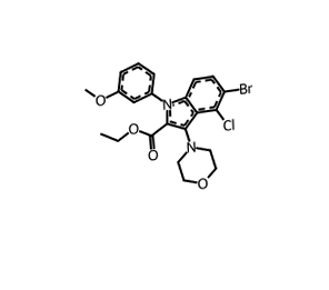 CCOC(=O)c1c(N2CCOCC2)c2c(Cl)c(Br)ccc2n1-c1cccc(OC)c1